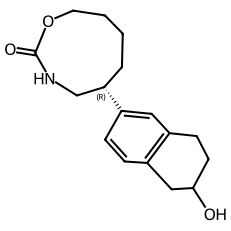 O=C1NC[C@@H](c2ccc3c(c2)CCC(O)C3)CCCCO1